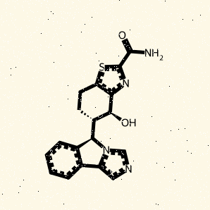 NC(=O)c1nc2c(s1)CC[C@@H]([C@@H]1c3ccccc3-c3cncn31)[C@@H]2O